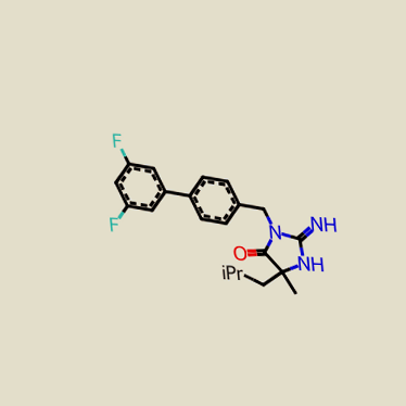 CC(C)CC1(C)NC(=N)N(Cc2ccc(-c3cc(F)cc(F)c3)cc2)C1=O